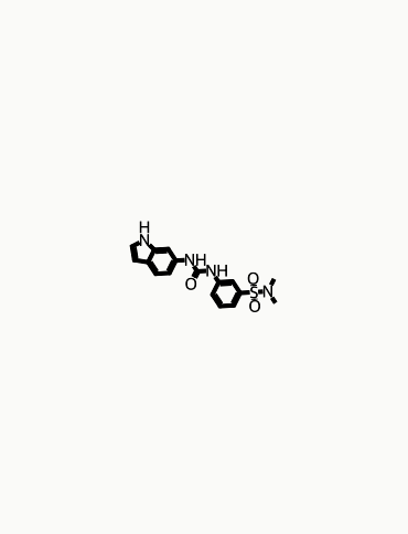 CN(C)S(=O)(=O)c1cccc(NC(=O)Nc2ccc3cc[nH]c3c2)c1